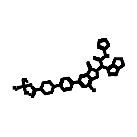 CC(C)(C)OC(=O)N1CCN(c2ccc(-c3cc(Cl)c4c(c3)C(=O)N(C(C(=O)Nc3nccs3)c3ncn5c3CCC5)C4)cc2)CC1